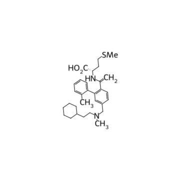 C=C(N[C@@H](CCSC)C(=O)O)c1ccc(CN(C)CCC2CCCCC2)cc1-c1ccccc1C